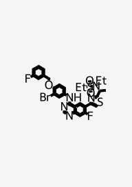 CCN(C(C)c1nc(-c2cc3c(Nc4ccc(OCc5cccc(F)c5)c(Br)c4)ncnc3cc2F)cs1)S(=O)(=O)CC